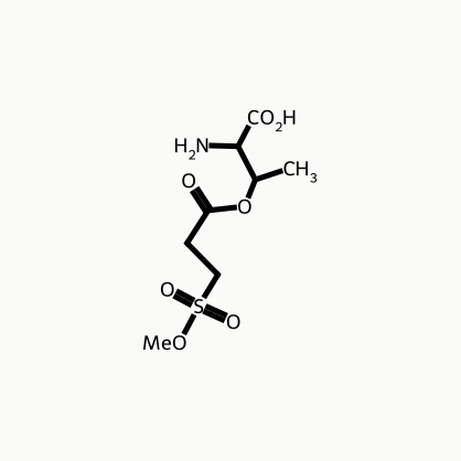 COS(=O)(=O)CCC(=O)OC(C)C(N)C(=O)O